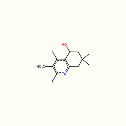 CC1(C)Cc2nc(I)c(C(=O)O)c(I)c2C(O)C1